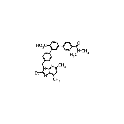 CCc1nc2c(C)cc(C)nc2n1Cc1ccc(-c2cc(-c3ccc(C(=O)N(C)C)cc3)ccc2C(=O)O)cc1